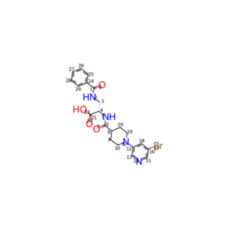 O=C(NC[C@H](NC(=O)C1CCN(c2cncc(Br)c2)CC1)C(=O)O)c1ccccc1